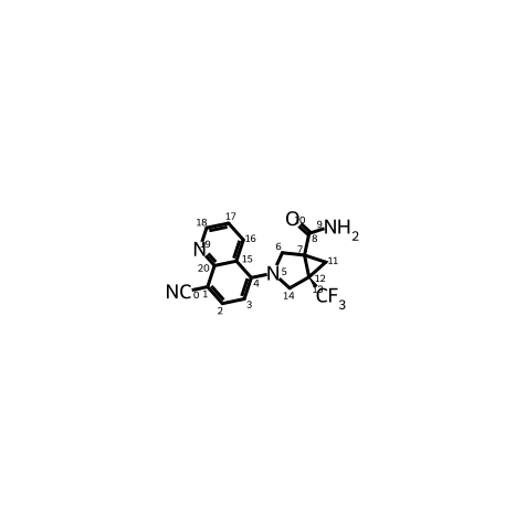 N#Cc1ccc(N2CC3(C(N)=O)C[C@]3(C(F)(F)F)C2)c2cccnc12